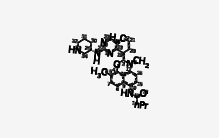 C=N/C(Oc1c(C)ccc2c(NC(=O)CCC)cccc12)=C(\C=C/C)c1ccnc(N[C@H]2CCCNC2)n1